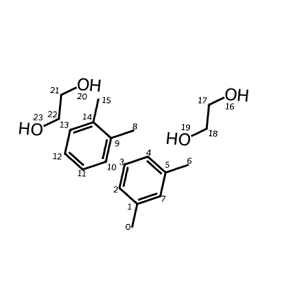 Cc1cccc(C)c1.Cc1ccccc1C.OCCO.OCCO